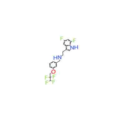 Fc1cc(F)c2[nH]cc(CCNCc3cccc(OCC(F)(F)C(F)F)c3)c2c1